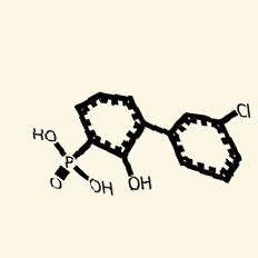 O=P(O)(O)c1cccc(-c2cccc(Cl)c2)c1O